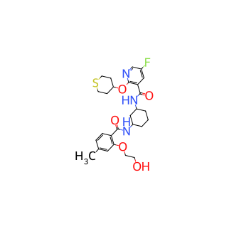 Cc1ccc(C(=O)NC2CCCC(NC(=O)c3cc(F)cnc3OC3CCSCC3)C2)c(OCCO)c1